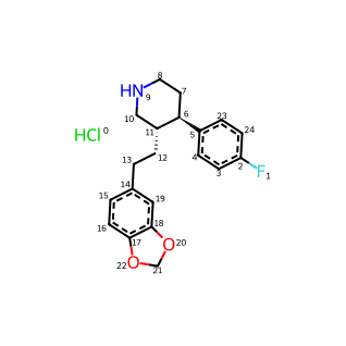 Cl.Fc1ccc([C@@H]2CCNC[C@H]2CCc2ccc3c(c2)OCO3)cc1